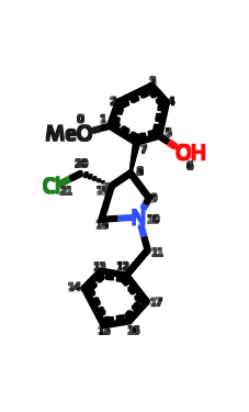 COc1cccc(O)c1[C@H]1CN(Cc2ccccc2)C[C@@H]1CCl